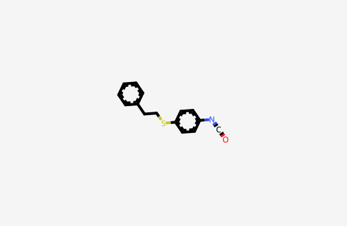 O=C=Nc1ccc(SCCc2ccccc2)cc1